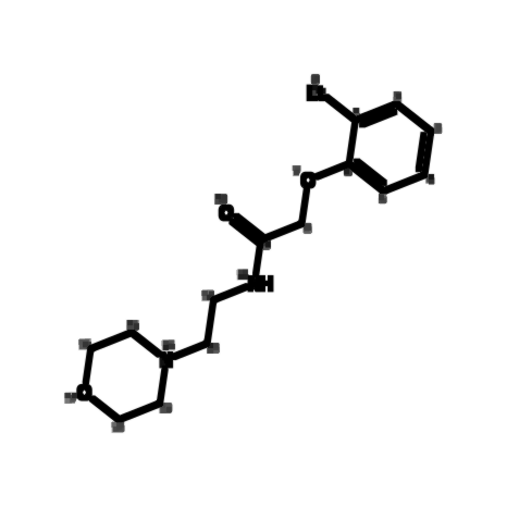 CCc1ccccc1OCC(=O)NCCN1CCOCC1